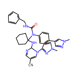 Cn1cc(-c2ccc(N(C(=O)NCc3ccccc3)C3(NC4N=CC(C#N)=CN4c4ccn(C)n4)CCCCC3)cc2)cn1